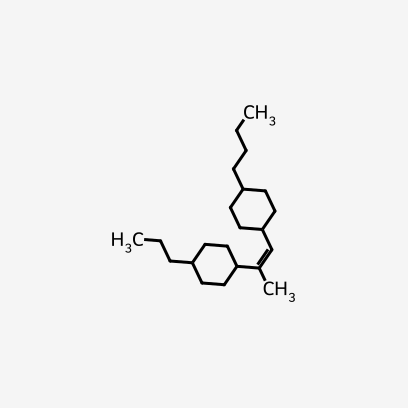 CCCCC1CCC(C=C(C)C2CCC(CCC)CC2)CC1